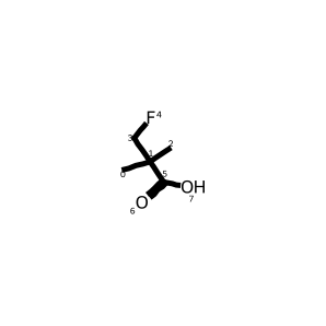 CC(C)(CF)C(=O)O